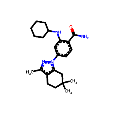 Cc1nn(-c2ccc(C(N)=O)c(NC3CCCCC3)c2)c2c1CCC(C)(C)C2